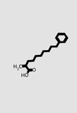 C=C(CCCCCCCCc1ccccc1)C(=O)O